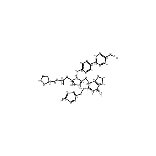 O=c1nc(SCc2ccc(F)cc2)n(Cc2nnc(CNCCN3CCCC3)n2Cc2ccc(-c3ccc(CF)cc3)cc2)c2c1CCC2